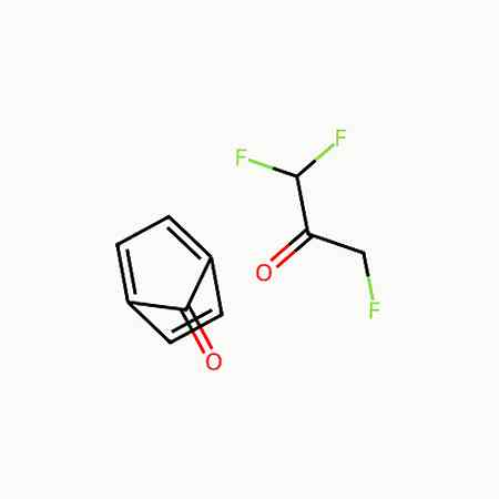 O=C(CF)C(F)F.O=C1C2=CC=C1C=C2